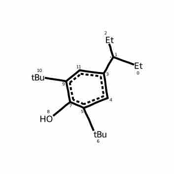 CC[C](CC)c1cc(C(C)(C)C)c(O)c(C(C)(C)C)c1